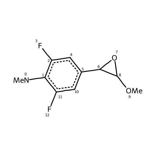 CNc1c(F)cc(C2OC2OC)cc1F